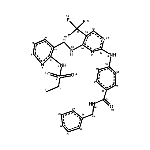 CCS(=O)(=O)Nc1ncccc1CNc1nc(Nc2ccc(C(=O)NCc3ccccc3)cc2)ncc1C(F)(F)F